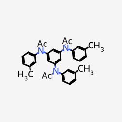 CC(=O)N(c1cccc(C)c1)c1cc(N(C(C)=O)c2cccc(C)c2)cc(N(C(C)=O)c2cccc(C)c2)c1